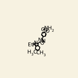 CCn1nc(-c2nc(-c3ccc(S(N)(=O)=O)cc3)no2)c2c1CC(C)(C)CC2